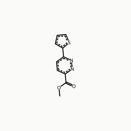 COC(=O)c1ccc(-c2cccs2)nn1